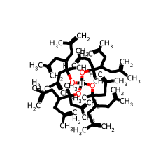 C=C(C)CC(CC(=C)C)C(C)(CC(=C)C)[O][Ti]([O]C(C)(CC(=C)C)C(CC(=C)C)CC(=C)C)([O]C(C)(CC(=C)C)C(CC(=C)C)CC(=C)C)[O]C(C)(CC(=C)C)C(CC(=C)C)CC(=C)C